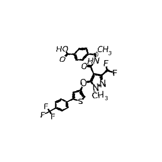 C[C@H](NC(=O)c1c(C(F)F)nn(C)c1Oc1csc(-c2ccc(C(F)(F)F)cc2)c1)c1ccc(C(=O)O)cc1